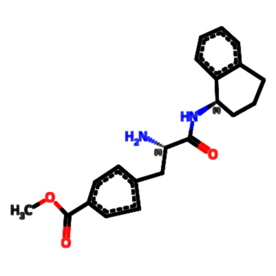 COC(=O)c1ccc(C[C@H](N)C(=O)N[C@@H]2CCCc3ccccc32)cc1